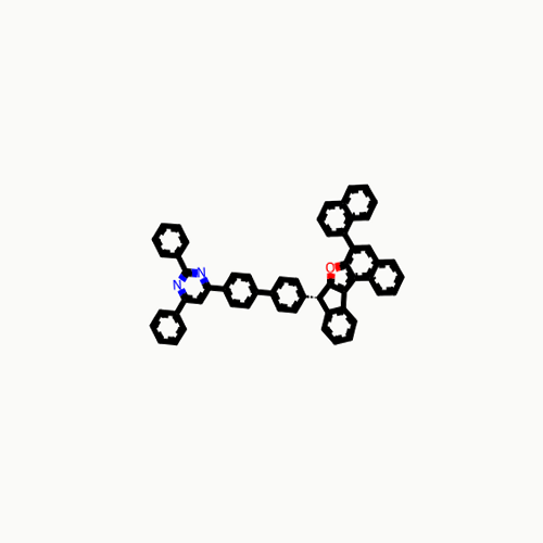 c1ccc(-c2cc(-c3ccc(-c4ccc([C@H]5c6ccccc6-c6c5oc5c(-c7cccc8ccccc78)cc7ccccc7c65)cc4)cc3)nc(-c3ccccc3)n2)cc1